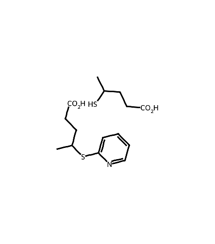 CC(CCC(=O)O)Sc1ccccn1.CC(S)CCC(=O)O